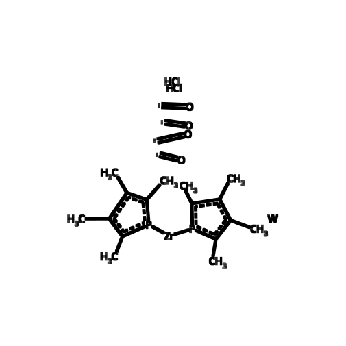 Cc1c(C)c(C)[p]([Zr][p]2c(C)c(C)c(C)c2C)c1C.Cl.Cl.[C]=O.[C]=O.[C]=O.[C]=O.[W]